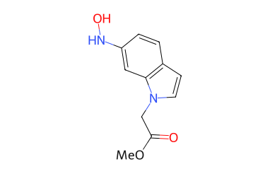 COC(=O)Cn1ccc2ccc(NO)cc21